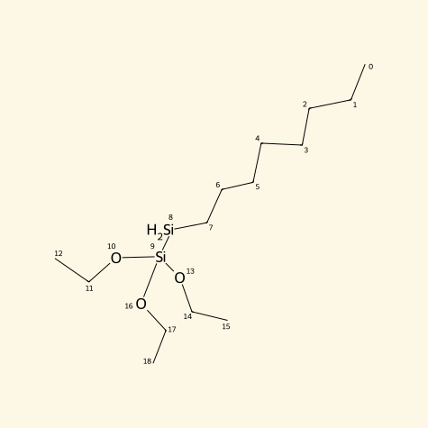 CCCCCCCC[SiH2][Si](OCC)(OCC)OCC